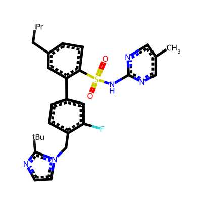 Cc1cnc(NS(=O)(=O)c2ccc(CC(C)C)cc2-c2ccc(Cn3ccnc3C(C)(C)C)c(F)c2)nc1